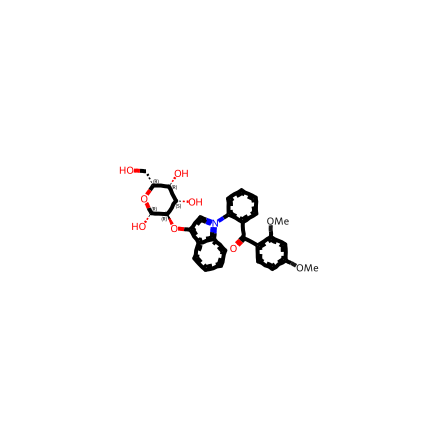 COc1ccc(C(=O)c2ccccc2-n2cc(O[C@@H]3[C@@H](O)[C@@H](O)[C@@H](CO)O[C@H]3O)c3ccccc32)c(OC)c1